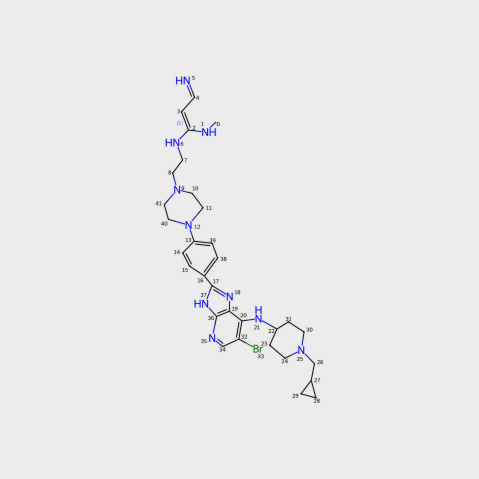 CN/C(=C\C=N)NCCN1CCN(c2ccc(-c3nc4c(NC5CCN(CC6CC6)CC5)c(Br)cnc4[nH]3)cc2)CC1